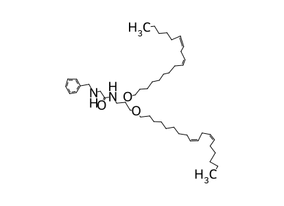 CCCCC/C=C\C/C=C\CCCCCCCCOCC(CNC(=O)CNCc1ccccc1)OCCCCCCCC/C=C\C/C=C\CCCCC